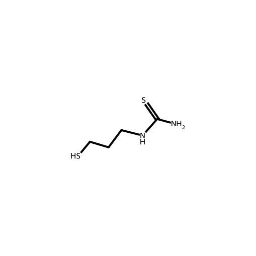 NC(=S)NCCCS